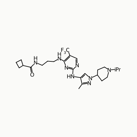 Cc1nn(C2CCN(C(C)C)CC2)cc1Nc1ncc(C(F)(F)F)c(NCCCNC(=O)C2CCC2)n1